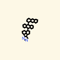 c1ccc2cc3c(-c4c5ccccc5c(-c5ccc6c7c(cccc57)-c5ncncc5-6)c5ccccc45)cccc3cc2c1